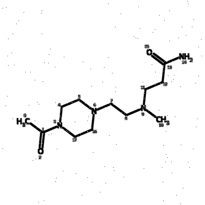 CC(=O)N1CCN(CCN(C)CCC(N)=O)CC1